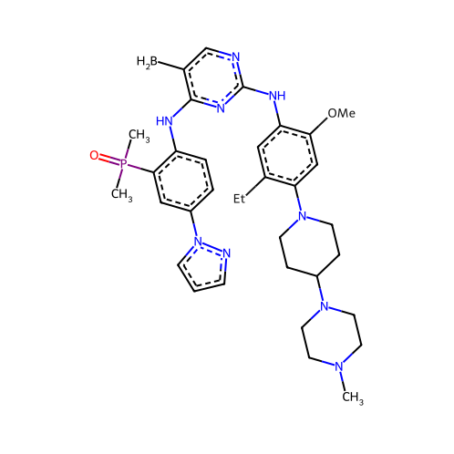 Bc1cnc(Nc2cc(CC)c(N3CCC(N4CCN(C)CC4)CC3)cc2OC)nc1Nc1ccc(-n2cccn2)cc1P(C)(C)=O